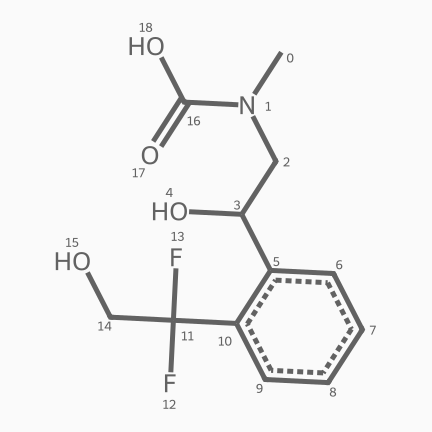 CN(CC(O)c1ccccc1C(F)(F)CO)C(=O)O